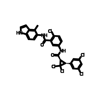 Cc1c(NC(=O)c2cc(NC(=O)[C@H]3[C@H](c4cc(Cl)cc(Cl)c4)C3(Cl)Cl)ccc2Cl)ccc2[nH]ccc12